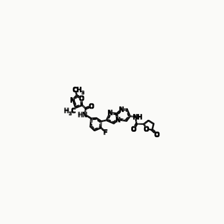 Cc1nc(C)c(C(=O)Nc2ccc(F)c(-c3cn4cc(NC(=O)C5CCC(=O)O5)cnc4n3)c2)o1